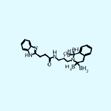 BC1(B)Cc2ccccc2C(B)(B)N1C[C@@H](O)CNC(=O)CCc1nc2ccccc2[nH]1